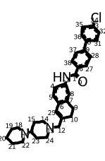 O=C(Nc1ccc2c(c1)CCC(CN1CCC(N3CCCCC3)CC1)=C2)c1ccc(-c2ccc(Cl)cc2)cc1